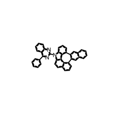 c1ccc(-c2nc(-n3c4cccc5c4c4c6c(cccc6ccc43)-c3cc4ccccc4cc3-5)nc3ccccc23)cc1